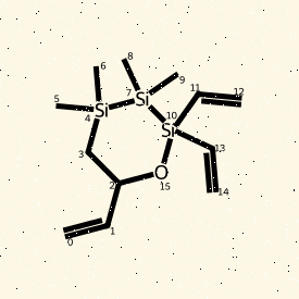 C=CC1C[Si](C)(C)[Si](C)(C)[Si](C=C)(C=C)O1